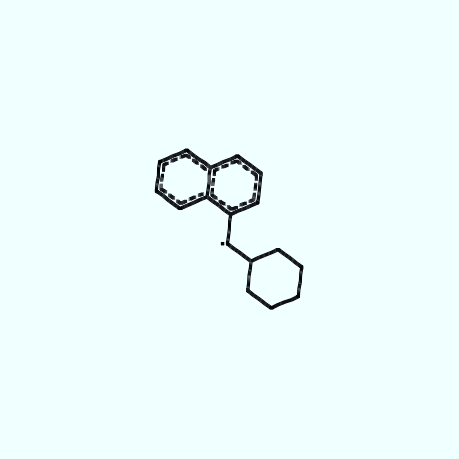 [CH](c1cccc2ccccc12)C1CCCCC1